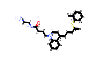 C=C(/C=C/C=C1\C=CN(CCCC(=O)NCCN)c2ccccc21)Sc1ccccc1C